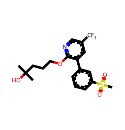 CC(C)(O)CCCOc1ncc(C(F)(F)F)cc1-c1cccc(S(C)(=O)=O)c1